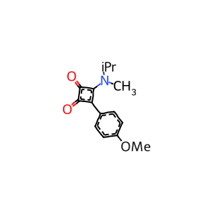 COc1ccc(-c2c(N(C)C(C)C)c(=O)c2=O)cc1